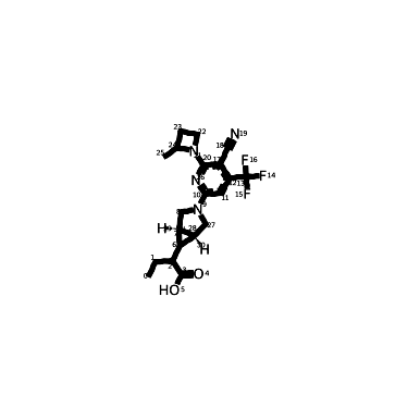 CCC(C(=O)O)C1[C@H]2CN(c3cc(C(F)(F)F)c(C#N)c(N4CCC4C)n3)C[C@@H]12